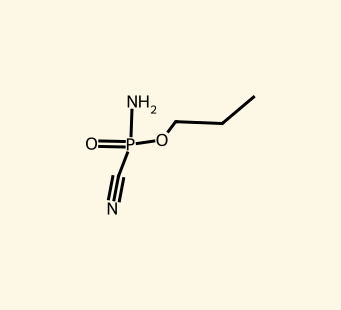 CCCOP(N)(=O)C#N